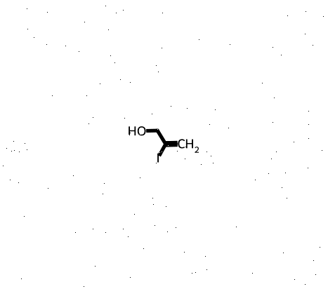 C=C(I)CO